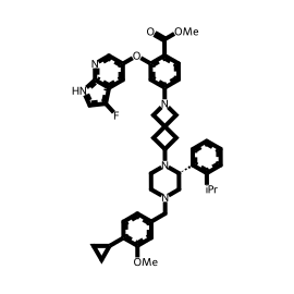 COC(=O)c1ccc(N2CC3(CC(N4CCN(Cc5ccc(C6CC6)c(OC)c5)C[C@H]4c4ccccc4C(C)C)C3)C2)cc1Oc1cnc2[nH]cc(F)c2c1